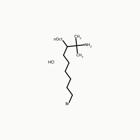 CCCCCCCCC(CCCCCCBr)C(C)(C)N.Cl